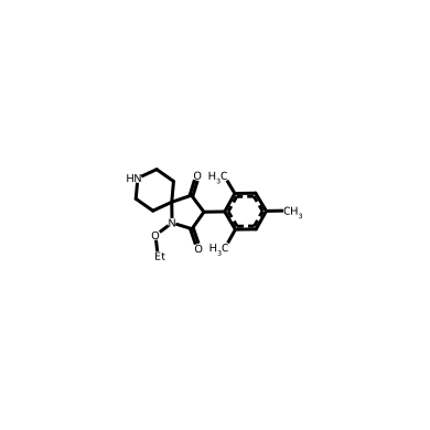 CCON1C(=O)C(c2c(C)cc(C)cc2C)C(=O)C12CCNCC2